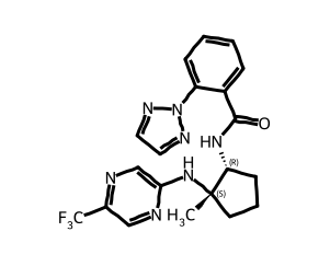 C[C@]1(Nc2cnc(C(F)(F)F)cn2)CCC[C@H]1NC(=O)c1ccccc1-n1nccn1